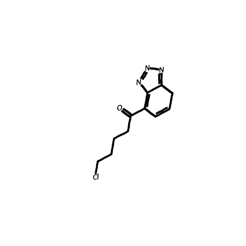 O=C(CCCCCl)C1=C2N=NN=C2CC=C1